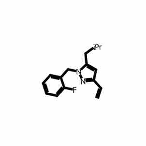 C=Cc1cc(CC(C)C)n(Cc2ccccc2F)n1